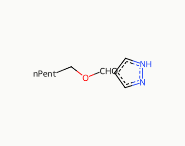 CCCCCCOC=O.c1cn[nH]c1